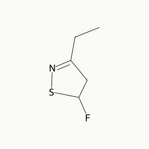 CCC1=NSC(F)C1